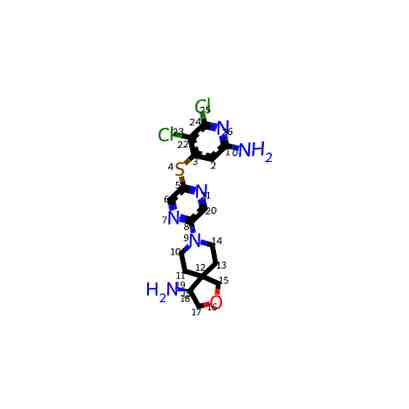 Nc1cc(Sc2cnc(N3CCC4(CC3)COC[C@H]4N)cn2)c(Cl)c(Cl)n1